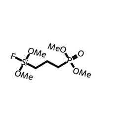 CO[Si](F)(CCCP(=O)(OC)OC)OC